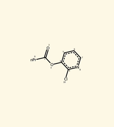 CCCC(=O)Oc1cccnc1Cl